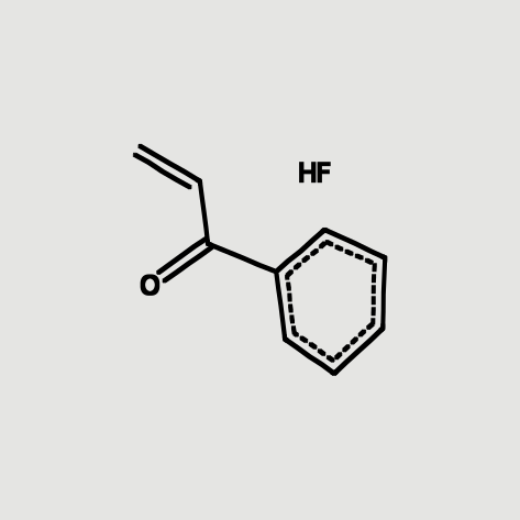 C=CC(=O)c1ccccc1.F